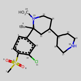 CC(C)(C)C1(c2ccc(S(C)(=O)=O)c(Cl)c2)CC(C2CCNCC2)CCN1C(=O)O